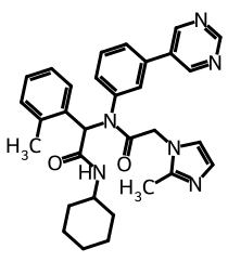 Cc1ccccc1C(C(=O)NC1CCCCC1)N(C(=O)Cn1ccnc1C)c1cccc(-c2cncnc2)c1